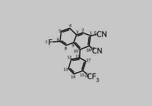 N#Cc1cc2ccc(F)cc2c(-c2cccc(C(F)(F)F)c2)c1C#N